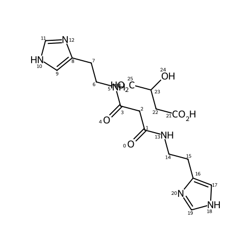 O=C(CC(=O)NCCc1c[nH]cn1)NCCc1c[nH]cn1.O=C(O)CC(O)C(=O)O